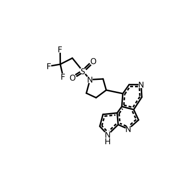 O=S(=O)(CC(F)(F)F)N1CCC(c2cncc3cnc4[nH]ccc4c23)C1